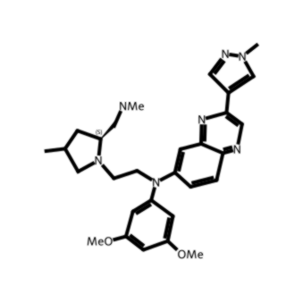 CNC[C@@H]1CC(C)CN1CCN(c1cc(OC)cc(OC)c1)c1ccc2ncc(-c3cnn(C)c3)nc2c1